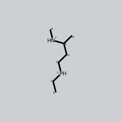 CCPCCC(C)NC